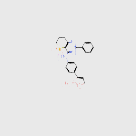 O=S1(=O)CCCc2nc(-c3ccccc3)nc(Nc3ccc(C4=CCOB4O)cc3)c21